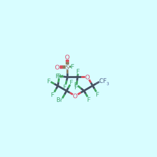 O=S(=O)(F)C(F)(F)C(F)(F)OC(F)(C(F)(F)F)C(F)(F)OC(F)(Br)C(F)(F)Br